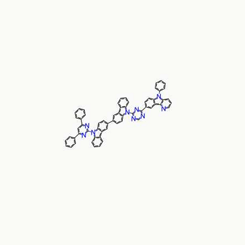 c1ccc(-c2cc(-c3ccccc3)nc(-n3c4ccccc4c4cc(-c5ccc6c(c5)c5ccccc5n6-c5ncnc(-c6ccc7c(c6)c6ncccc6n7-c6ccccc6)n5)ccc43)n2)cc1